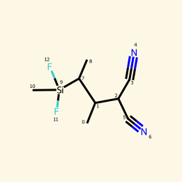 CC(C(C#N)C#N)C(C)[Si](C)(F)F